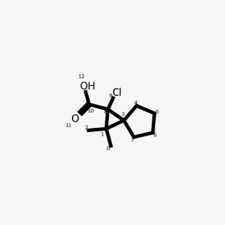 CC1(C)C2(CCCC2)C1(Cl)C(=O)O